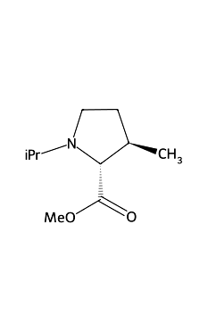 COC(=O)[C@H]1[C@H](C)CCN1C(C)C